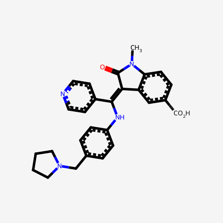 CN1C(=O)C(=C(Nc2ccc(CN3CCCC3)cc2)c2ccncc2)c2cc(C(=O)O)ccc21